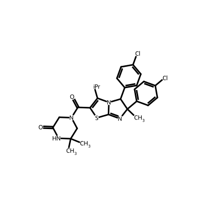 CC(C)C1=C(C(=O)N2CC(=O)NC(C)(C)C2)SC2=NC(C)(c3ccc(Cl)cc3)C(c3ccc(Cl)cc3)N21